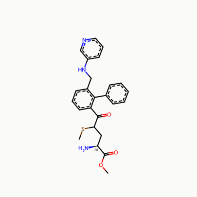 COC(=O)[C@@H](N)CC(SC)C(=O)c1cccc(CNc2cccnc2)c1-c1ccccc1